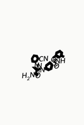 Cc1cccc(C)c1NS(=O)(=O)c1ccc(Nc2nn(C3CCCCC3C#N)cc2C(N)=O)cc1